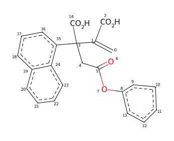 C=C(C(=O)O)C(CC(=O)Oc1ccccc1)(C(=O)O)c1cccc2ccccc12